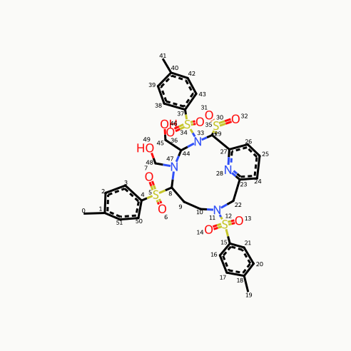 Cc1ccc(S(=O)(=O)C2CCN(S(=O)(=O)c3ccc(C)cc3)Cc3cccc(n3)C(=S(=O)=O)N(S(=O)(=O)c3ccc(C)cc3)C(CO)N2CO)cc1